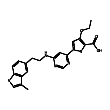 CCOc1cc(-c2cc(NCCc3ccc4scc(C)c4c3)ncn2)sc1C(=O)O